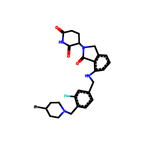 CC(C)C1CCN(Cc2ccc(CNc3cccc4c3C(=O)N(C3CCC(=O)NC3=O)C4)cc2F)CC1